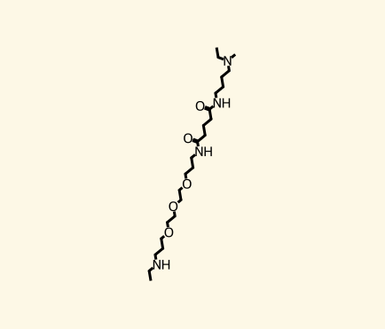 CCNCCCOCCOCCOCCCNC(=O)CCCC(=O)NCCCCN(C)CC